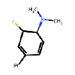 CC(C)C1=CC(F)[C@@H](N(C)C)C=C1